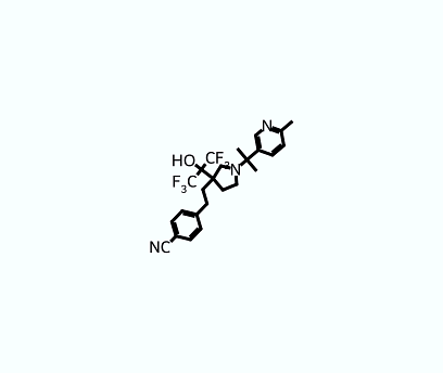 Cc1ccc(C(C)(C)N2CCC(CCc3ccc(C#N)cc3)(C(O)(C(F)(F)F)C(F)(F)F)C2)cn1